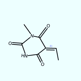 C/C=C1\C(=O)NC(=O)N(C)C1=O